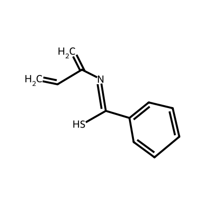 C=CC(=C)/N=C(\S)c1ccccc1